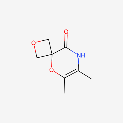 CC1=C(C)OC2(COC2)C(=O)N1